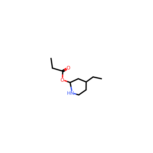 CCC(=O)OC1CC(CC)CCN1